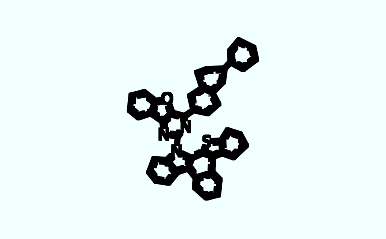 c1ccc(-c2ccc3cc(-c4nc(-n5c6ccccc6c6c7ccccc7c7c8ccccc8sc7c65)nc5c4oc4ccccc45)ccc3c2)cc1